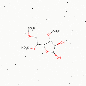 O=S(=O)(O)OC[C@@H](OS(=O)(=O)O)[C@H]1O[C@H](O)[C@H](O)[C@H]1OS(=O)(=O)O